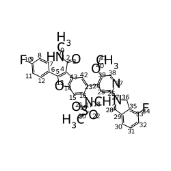 CNC(=O)c1c(-c2ccc(F)cc2)oc2cc(N(C)S(C)(=O)=O)c(-c3cc(N4Cc5cccc(F)c5C4)ncc3OC)cc12